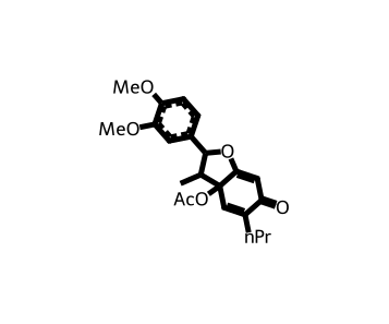 CCCC1=CC2(OC(C)=O)C(=CC1=O)OC(c1ccc(OC)c(OC)c1)C2C